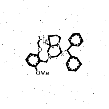 COc1cccc(OCC(F)(F)F)c1CN1C[C@@H]2CCCN2[C@H](C(c2ccccc2)c2ccccc2)C1